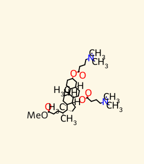 COC(=O)CC[C@@H](C)[C@H]1CC[C@H]2[C@@H]3[C@@H](OC(=O)CCCN(C)C)C[C@@H]4C[C@H](OC(=O)CCCN(C)C)CC[C@]4(C)[C@H]3CC[C@]12C